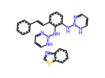 C1=CNN(Nc2cccc(C=Cc3ccccc3)c2NN2N=CC=CN2)N=C1.c1ccc2scnc2c1